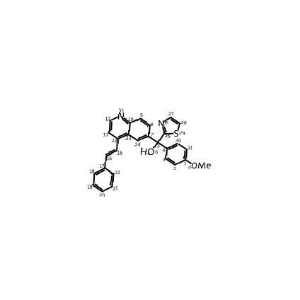 COc1ccc(C(O)(c2ccc3nccc(/C=C/c4ccccc4)c3c2)c2nccs2)cc1